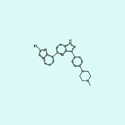 CCc1cn2cccc(-c3ccc4[nH]nc(-c5ccc(N6CCN(C)CC6)cc5)c4n3)c2n1